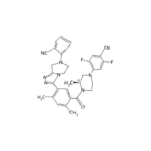 Cc1cc(C)c(-c2nnc3n2CCN(c2ccccc2C#N)C3)cc1C(=O)N1CCN(c2cc(F)c(C#N)cc2F)C[C@@H]1C